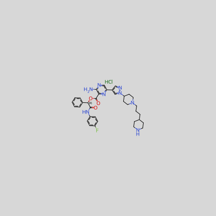 Cl.Nc1ncc(-c2cnn(C3CCN(CCCC4CCNCC4)CC3)c2)nc1C(=O)O[C@@H](C(=O)Nc1ccc(F)cc1)c1ccccc1